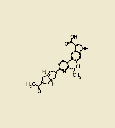 COc1nc(N2C[C@@H]3CN(C(C)=O)C[C@H]3C2)ccc1-c1cc2c(C(=O)O)c[nH]c2cc1Cl